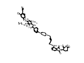 CC1(C)C(NC(=O)c2ccc(N3CCN(CCCCNc4cccc5c4C(=O)N(C4CCC(=O)NC4=O)C5=O)CC3)cc2)C(C)(C)C1Oc1ccc(C#N)c(Cl)c1